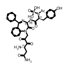 CC(=O)N([C@@H](Cc1ccc(O)cc1)C(=O)N[C@@H]1N=C(c2ccccc2)c2ccccc2N(CC(=O)C(=O)[C@@H](N)CC(N)=O)C1=O)P(=O)(O)O